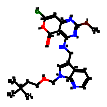 CSc1nc(NCc2cn(COCC[Si](C)(C)C)c3ncccc23)c2c(=O)oc(Cl)cc2n1